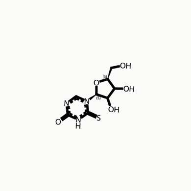 O=c1ncn([C@H]2O[C@@H](CO)C(O)C2O)c(=S)[nH]1